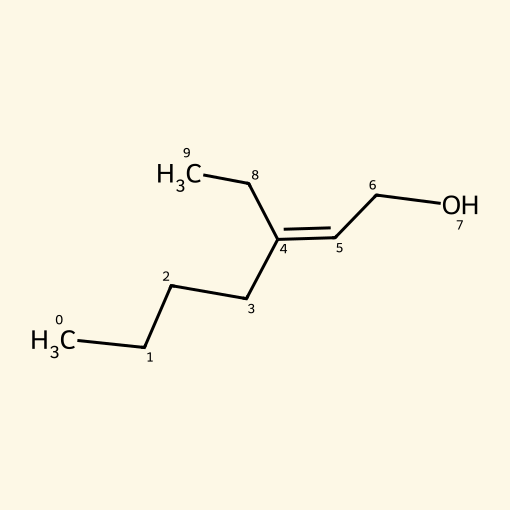 CCCC/C(=C/CO)CC